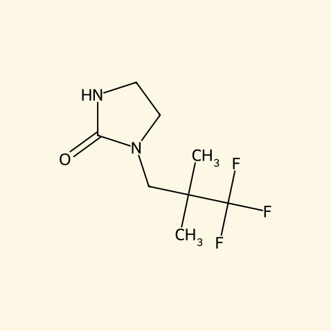 CC(C)(CN1CCNC1=O)C(F)(F)F